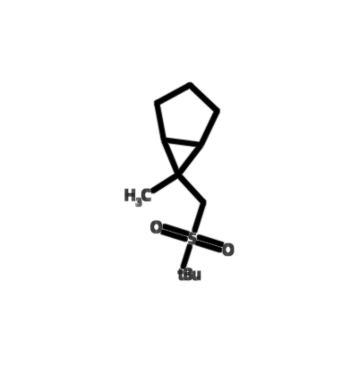 CC1(CS(=O)(=O)C(C)(C)C)C2CCCC21